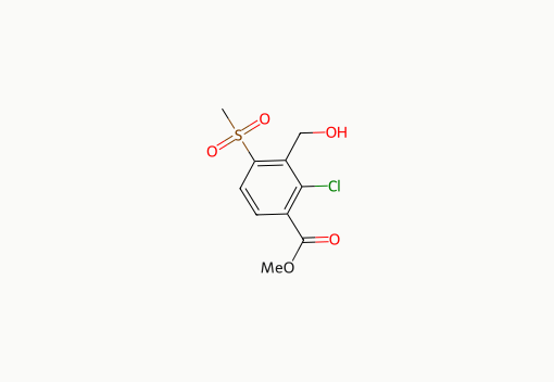 COC(=O)c1ccc(S(C)(=O)=O)c(CO)c1Cl